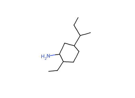 CCC(C)C1CCC(CC)C(N)C1